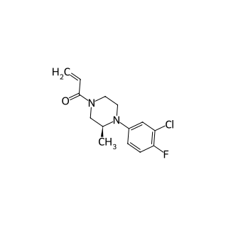 C=CC(=O)N1CCN(c2ccc(F)c(Cl)c2)[C@@H](C)C1